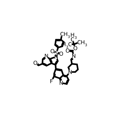 Cc1ccc(S(=O)(=O)n2cc(-c3cc(F)c4nccc(N5CCCC(/C=N/C(=O)OC(C)(C)C)C5)c4c3)c3cc(C=O)cnc32)cc1